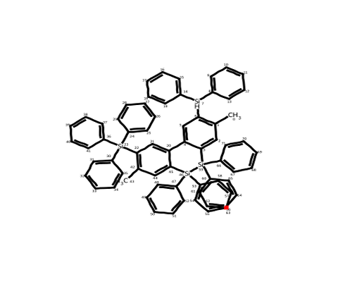 Cc1cc2c(cc1[SiH](c1ccccc1)c1ccccc1)-c1cc([Si](c3ccccc3)(c3ccccc3)c3ccccc3)c(C)cc1[Si](c1ccccc1)(c1ccccc1)[Si]2(c1ccccc1)c1ccccc1